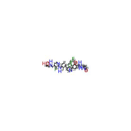 Cc1c(Nc2nccc(CNC[C@@H](C)O)c2F)cccc1-c1ccnc(-c2ccc(CNC[C@@H]3CCC(=O)N3)c(OC(F)F)c2)c1Cl